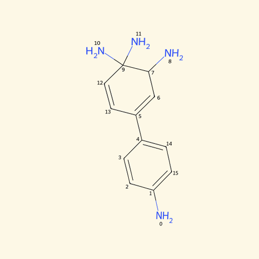 Nc1ccc(C2=CC(N)C(N)(N)C=C2)cc1